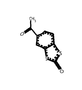 CC(=O)c1ccc2sc(=O)sc2c1